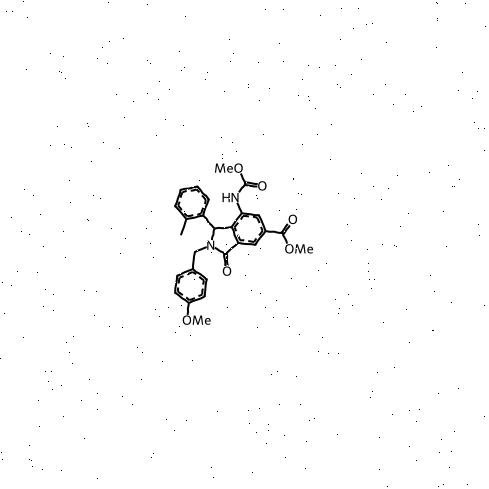 COC(=O)Nc1cc(C(=O)OC)cc2c1C(c1ccccc1C)N(Cc1ccc(OC)cc1)C2=O